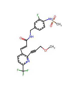 COCC#Cc1nc(C(F)(F)F)ccc1C=CC(=O)NCc1ccc(NS(C)(=O)=O)c(F)c1